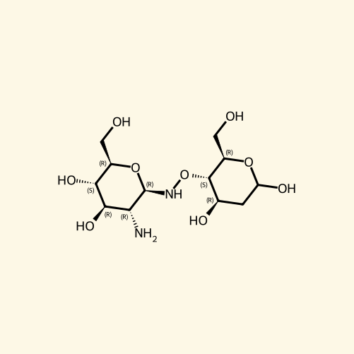 N[C@@H]1[C@@H](O)[C@H](O)[C@@H](CO)O[C@H]1NO[C@H]1[C@H](O)CC(O)O[C@@H]1CO